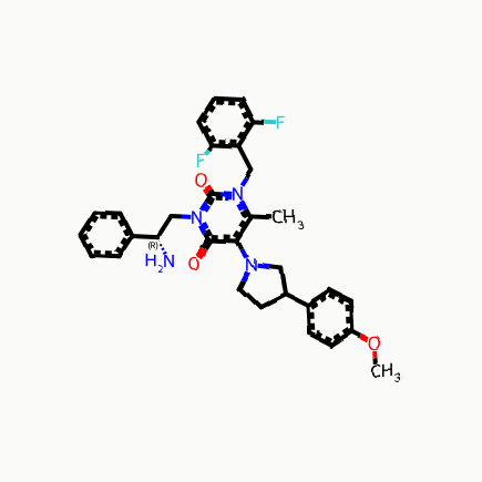 COc1ccc(C2CCN(c3c(C)n(Cc4c(F)cccc4F)c(=O)n(C[C@H](N)c4ccccc4)c3=O)C2)cc1